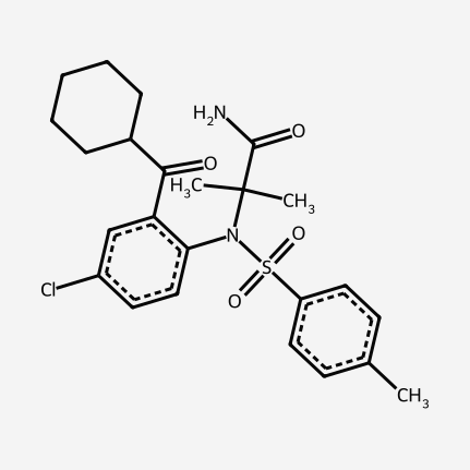 Cc1ccc(S(=O)(=O)N(c2ccc(Cl)cc2C(=O)C2CCCCC2)C(C)(C)C(N)=O)cc1